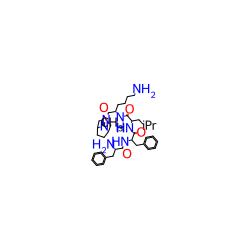 CC(C)CC(NC(=O)C(Cc1ccccc1)NC(=O)C(N)Cc1ccccc1)C(=O)NC(CCCCN)C(=O)N1CC2CCC(C1)N2C